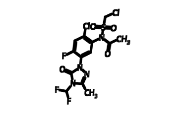 CC(=O)N(c1cc(-n2nc(C)n(C(F)F)c2=O)c(F)cc1Cl)S(=O)(=O)CCl